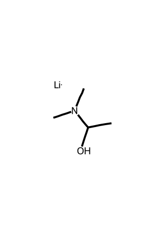 CC(O)N(C)C.[Li]